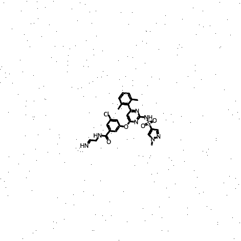 Cc1cccc(C)c1-c1cc(Oc2cc(Cl)cc(C(=O)NCC=N)c2)nc(NS(=O)(=O)c2cnn(C)c2)n1